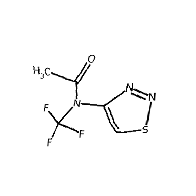 CC(=O)N(c1csnn1)C(F)(F)F